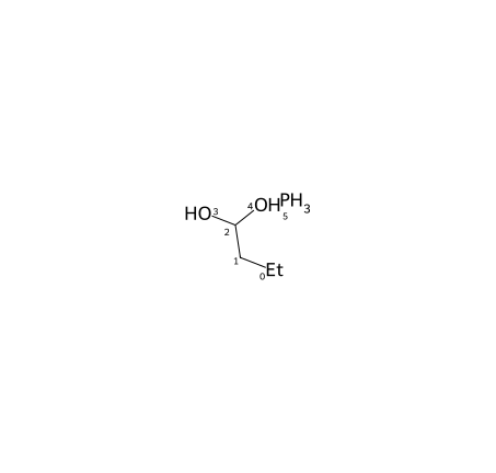 CCCC(O)O.P